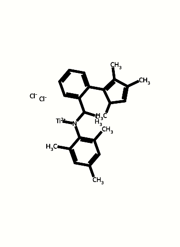 CC1=CC(C)C(c2ccccc2C(C)[N]([Ti+2])c2c(C)cc(C)cc2C)=C1C.[Cl-].[Cl-]